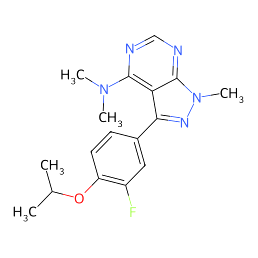 CC(C)Oc1ccc(-c2nn(C)c3ncnc(N(C)C)c23)cc1F